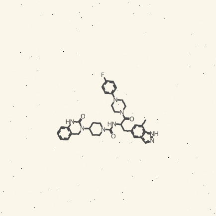 Cc1cc(CC(NC(=O)N2CCC(N3Cc4ccccc4NC3=O)CC2)C(=O)N2CCN(c3ccc(F)cc3)CC2)cc2cn[nH]c12